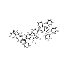 CC1(C)c2ccccc2-c2ccc(N(c3ccccc3)c3ccc4c(c3)C(C)(C)c3cc(-c5cc6c(-c7ccccc7)c(-c7ccccc7)n(-c7ccccc7)c6c6ccccc56)ccc3-4)cc21